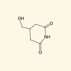 O=C1CC(CO)CC(=O)N1